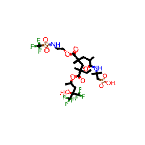 CCC(C)(CC(C)(CC(C)C(=O)NC(C)(C)CS(=O)(=O)O)C(=O)OCCNS(=O)(=O)C(F)(F)F)C(=O)OC(C)CC(O)(C(F)(F)F)C(F)(F)F